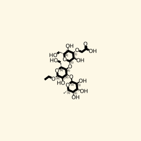 CCO[C@@H]1O[C@H](CO)[C@@H](O[C@@H]2O[C@H](CO)[C@H](O)[C@H](OCC(=O)O)[C@H]2O)[C@H](O[C@@H]2O[C@@H](C)[C@@H](O)[C@@H](O)[C@@H]2O)[C@H]1O